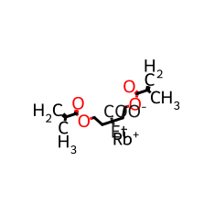 C=C(C)C(=O)OCCC(CC)(CCOC(=O)C(=C)C)C(=O)[O-].[Rb+]